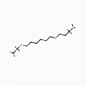 CC(C)(CCCCCCCCCCC(C)(C)C(F)C(=O)O)C(F)C(=O)O